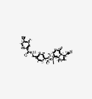 Cc1cc(C(=O)NCc2ccc(S(=O)(=O)Nc3ccc(C)c4c(C#N)c[nH]c34)cc2)ncc1Br